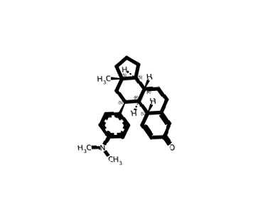 CN(C)c1ccc([C@H]2C[C@]3(C)CCC[C@H]3[C@@H]3CCC4=CC(=O)C=C[C@@H]4[C@H]32)cc1